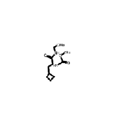 COCNC(=O)C(CC1CCC1)NC(=O)OC(C)(C)C